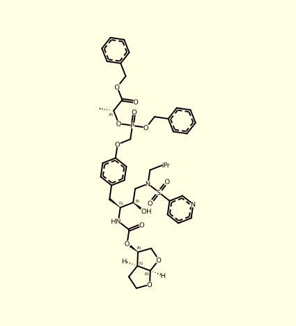 CC(C)CN(C[C@@H](O)[C@H](Cc1ccc(OCP(=O)(OCc2ccccc2)O[C@H](C)C(=O)OCc2ccccc2)cc1)NC(=O)O[C@H]1CO[C@H]2OCC[C@H]21)S(=O)(=O)c1cccnc1